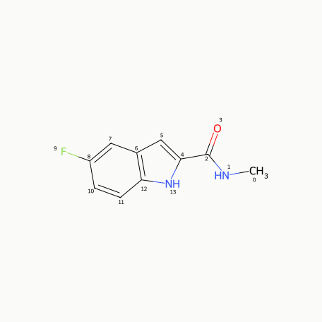 CNC(=O)c1cc2cc(F)ccc2[nH]1